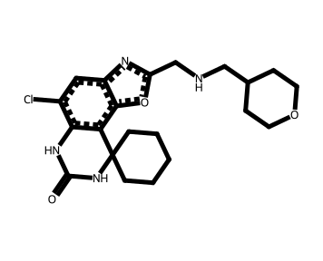 O=C1Nc2c(Cl)cc3nc(CNCC4CCOCC4)oc3c2C2(CCCCC2)N1